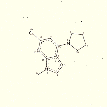 Cn1ccc2c(N3CCCC3)cc(Cl)nc21